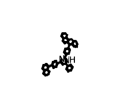 C1=C(c2ccc(-c3cccc4ccccc34)cc2)N=C(c2ccc(-c3c4ccccc4cc4c3ccc3ccccc34)cc2)NC1c1ccccc1